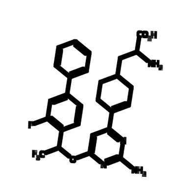 Nc1nc(OC(c2ccc(-c3ccccc3)cc2F)C(F)(F)F)cc(C2=CCC(CC(N)C(=O)O)CC2)n1